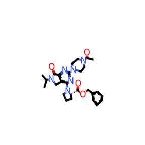 CC(=O)N1CCN(c2nc3c(c(N4CCC[C@H]4C(=O)OCc4ccccc4)n2)CN(C(C)C)C3=O)CC1